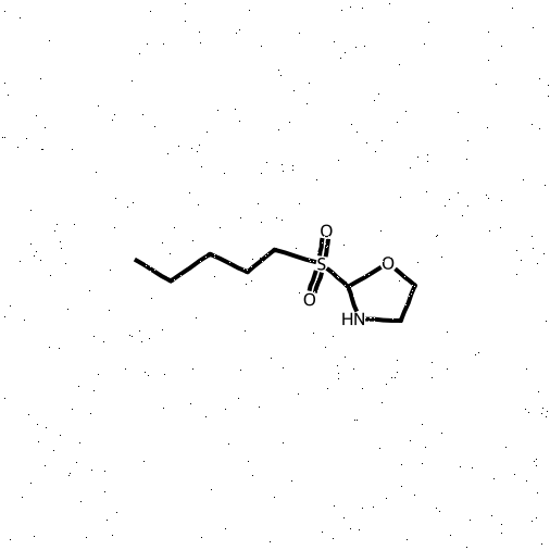 CCCCCS(=O)(=O)C1NCCO1